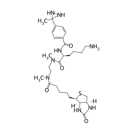 CN(CCN(C)C(=O)[C@H](CCCCN)NC(=O)c1ccc(C2(C)NN2)cc1)C(=O)CCCC[C@H]1SC[C@H]2NC(=O)N[C@H]21